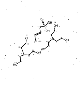 CCCCCCC=COP(=O)(O)O.OCCN(CCO)CCO.OCCN(CCO)CCO